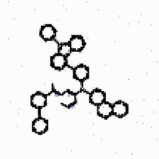 C\C=C/C(=C\C=C(/C)c1cccc(-c2ccccc2)c1)N(c1cccc(-c2cccc3c2c2ccccc2n3-c2ccccc2)c1)c1ccc2c(ccc3ccccc32)c1